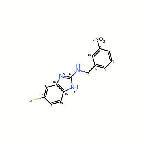 O=[N+]([O-])c1cccc(CNc2nc3cc(F)ccc3[nH]2)c1